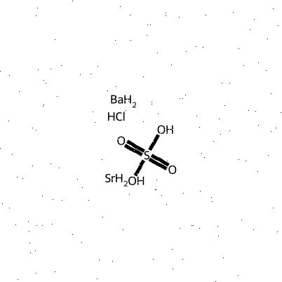 Cl.O=S(=O)(O)O.[BaH2].[SrH2]